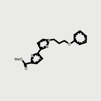 COC(=O)c1ccc(-c2ccn(CCCOc3ccccc3)n2)s1